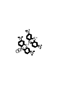 CN(C)c1ccc2nc3ccc(N(C)C)cc3[s+]c2c1.CN(C)c1ccc2nc3ccc(N(C)C)cc3[s+]c2c1.[Cl-].[Cl-]